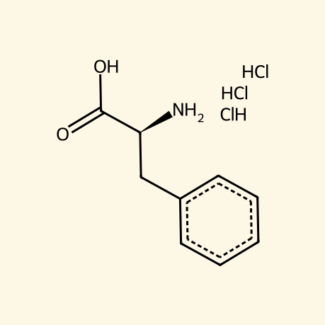 Cl.Cl.Cl.N[C@@H](Cc1ccccc1)C(=O)O